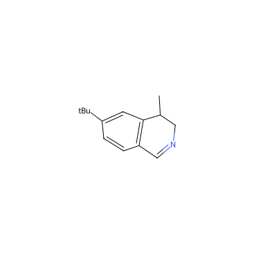 CC1CN=Cc2ccc(C(C)(C)C)cc21